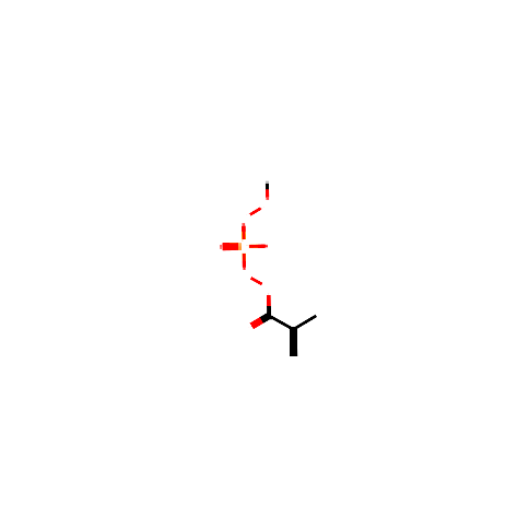 C=C(C)C(=O)OOP(=O)(O)OOCC